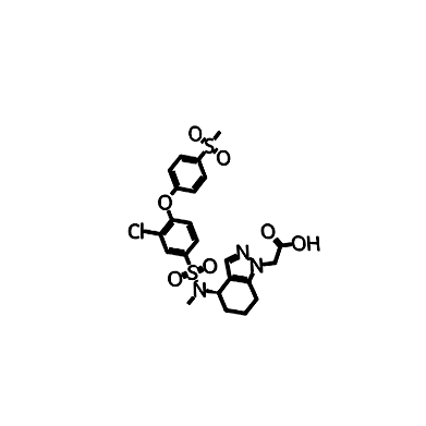 CN([C@@H]1CCCc2c1cnn2CC(=O)O)S(=O)(=O)c1ccc(Oc2ccc(S(C)(=O)=O)cc2)c(Cl)c1